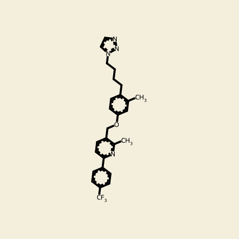 Cc1cc(OCc2ccc(-c3ccc(C(F)(F)F)cc3)nc2C)ccc1CCCCn1ccnn1